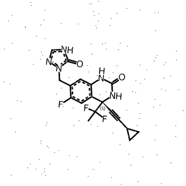 CC(F)(F)[C@@]1(C#CC2CC2)NC(=O)Nc2cc(Cn3nc[nH]c3=O)c(F)cc21